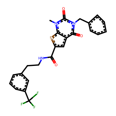 Cn1c(=O)n(Cc2ccccc2)c(=O)c2cc(C(=O)NCCc3cccc(C(F)(F)F)c3)sc21